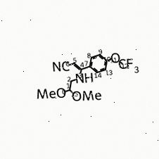 COC(CNC(=CC#N)c1ccc(OC(F)(F)F)cc1)OC